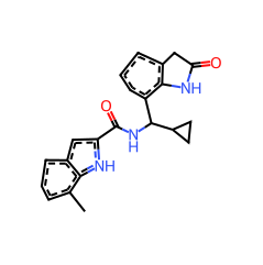 Cc1cccc2cc(C(=O)NC(c3cccc4c3NC(=O)C4)C3CC3)[nH]c12